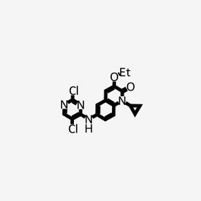 CCOc1cc2cc(Nc3nc(Cl)ncc3Cl)ccc2n(C2CC2)c1=O